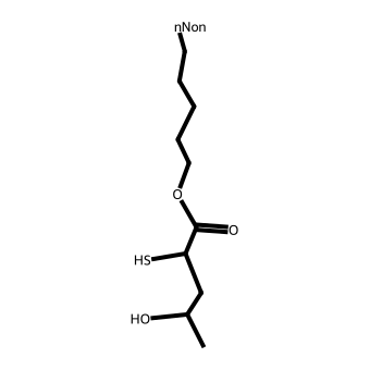 CCCCCCCCCCCCCCOC(=O)C(S)CC(C)O